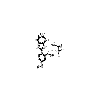 CCOC(=O)c1cnc2[nH]c(-c3ccc(OC(C)C)cc3OC(C)C)nc2c1.O=C(O)C(F)(F)F